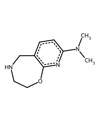 CN(C)c1ccc2c(n1)OCCNC2